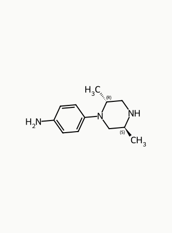 C[C@@H]1CN[C@@H](C)CN1c1ccc(N)cc1